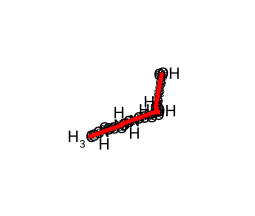 CCOCCOCCNC(=O)COCCOCCNC(=O)COCCOCCNCCOCCOCCNC(=O)CC[C@H](NC(=O)CCCCCCCCCCCCCCCCCCC(=O)O)C(=O)O